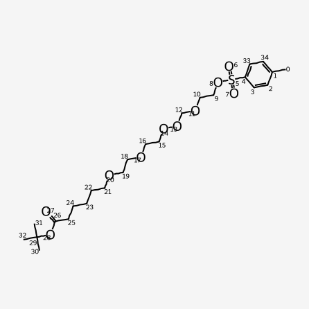 Cc1ccc(S(=O)(=O)OCCOCOOCCOCCOCCCCCC(=O)OC(C)(C)C)cc1